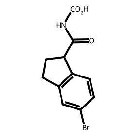 O=C(O)NC(=O)C1CCc2cc(Br)ccc21